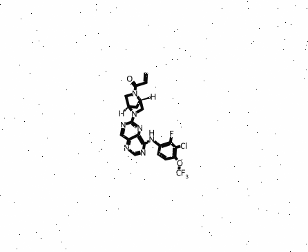 C=CC(=O)N1C[C@@H]2C[C@H]1CN2c1ncc2ncnc(Nc3ccc(OC(F)(F)F)c(Cl)c3F)c2n1